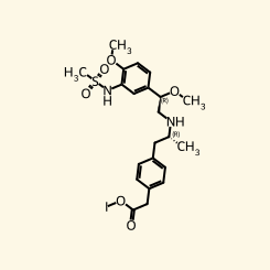 COc1ccc([C@H](CN[C@H](C)Cc2ccc(CC(=O)OI)cc2)OC)cc1NS(C)(=O)=O